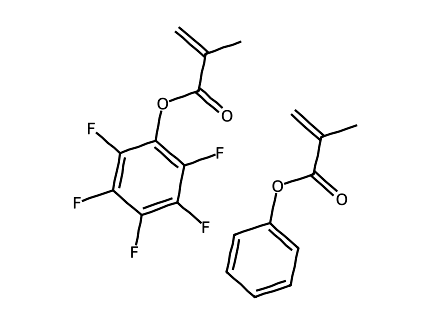 C=C(C)C(=O)Oc1c(F)c(F)c(F)c(F)c1F.C=C(C)C(=O)Oc1ccccc1